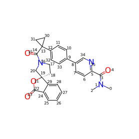 CN(C)C(=O)c1ccc(-c2ccc(C3(C(=O)N4CC[C@@]5(C4)OC(=O)c4ccccc45)CC3)cc2)cn1